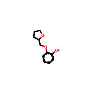 Oc1ccccc1OCC1CCCO1